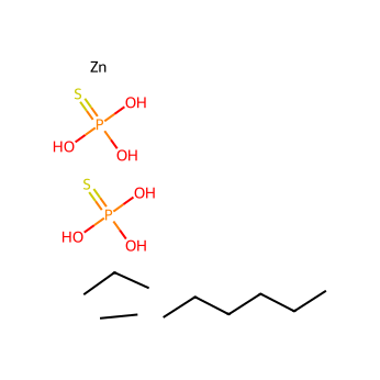 CC.CCC.CCCCCC.OP(O)(O)=S.OP(O)(O)=S.[Zn]